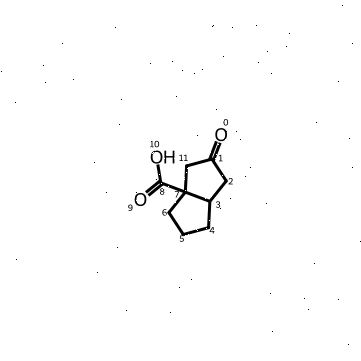 O=C1CC2CCCC2(C(=O)O)C1